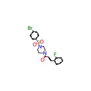 O=C(C=Cc1ccccc1F)N1CCN(S(=O)(=O)c2ccc(Br)cc2)CC1